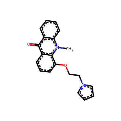 Cn1c2ccccc2c(=O)c2cccc(OCCn3cccc3)c21